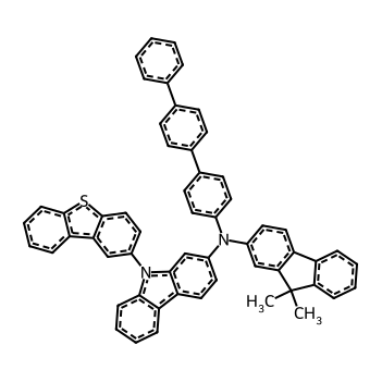 CC1(C)c2ccccc2-c2ccc(N(c3ccc(-c4ccc(-c5ccccc5)cc4)cc3)c3ccc4c5ccccc5n(-c5ccc6sc7ccccc7c6c5)c4c3)cc21